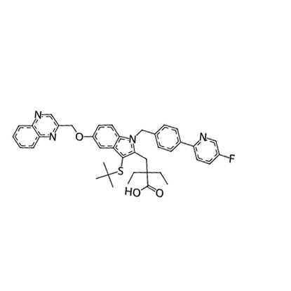 CCC(CC)(Cc1c(SC(C)(C)C)c2cc(OCc3cnc4ccccc4n3)ccc2n1Cc1ccc(-c2ccc(F)cn2)cc1)C(=O)O